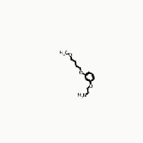 COCCCCOc1cccc(OCCN)c1